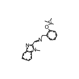 Cn1c(C=NCc2ccccc2O[Si](C)(C)C)nc2ccccc21